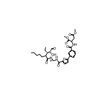 CCCCCC(C(=O)NCNC(=O)c1ccc(-c2cccc(C(=O)NC(CC(=O)OC)C(=O)OC)c2)o1)[C@@H](CC)N(O)C=O